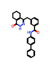 O=C(Nc1ccc(-c2ccccc2)cc1)c1cccc(Cc2n[nH]c(=O)c3c2CCCC3)c1